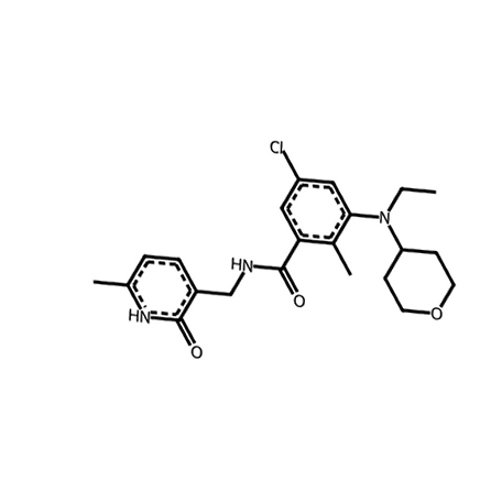 CCN(c1cc(Cl)cc(C(=O)NCc2ccc(C)[nH]c2=O)c1C)C1CCOCC1